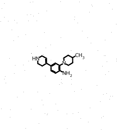 CC1CCN(c2cc(C3=CCNCC3)ccc2N)CC1